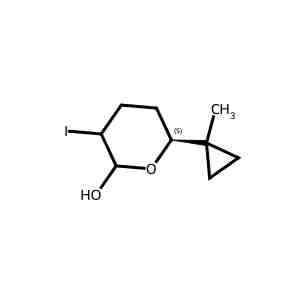 CC1([C@@H]2CCC(I)C(O)O2)CC1